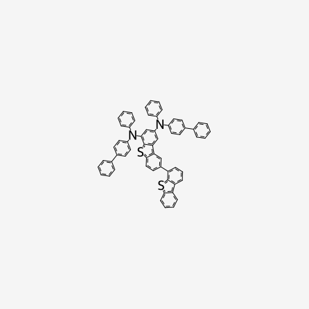 c1ccc(-c2ccc(N(c3ccccc3)c3cc(N(c4ccccc4)c4ccc(-c5ccccc5)cc4)c4sc5ccc(-c6cccc7c6sc6ccccc67)cc5c4c3)cc2)cc1